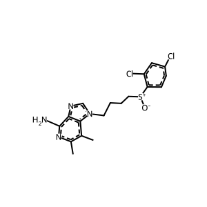 Cc1nc(N)c2ncn(CCCC[S+]([O-])c3ccc(Cl)cc3Cl)c2c1C